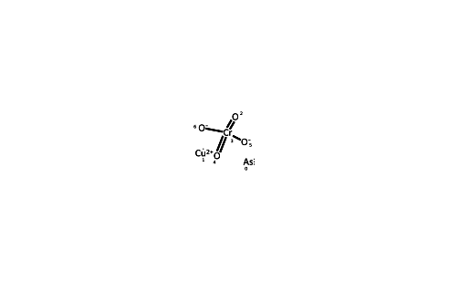 [As].[Cu+2].[O]=[Cr](=[O])([O-])[O-]